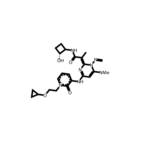 C=NN1C(NC)=CC(Nc2cccn(CCOC3CC3)c2=O)=N/C1=C(/C)C(=O)NC1CC[C@H]1O